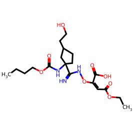 CCCCOC(=O)NC1(C(=N)NOC(=CC(=O)OCC)C(=O)O)CCC(CCO)C1